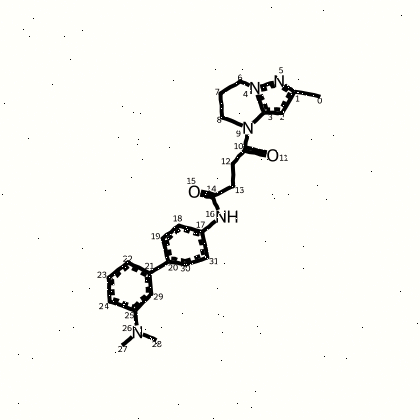 Cc1cc2n(n1)CCCN2C(=O)CCC(=O)Nc1ccc(-c2cccc(N(C)C)c2)cc1